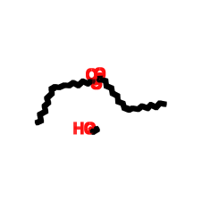 C=CO.CCCCCCCC/C=C\CCCCCCCC(=O)OC(=O)CCCCCCC/C=C\CCCCCCCC